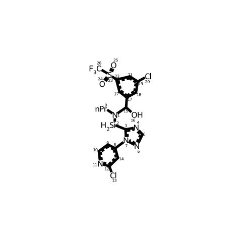 CCCN([SiH2]c1ncnn1-c1ccnc(Cl)c1)C(O)c1cc(Cl)cc(S(=O)(=O)C(F)(F)F)c1